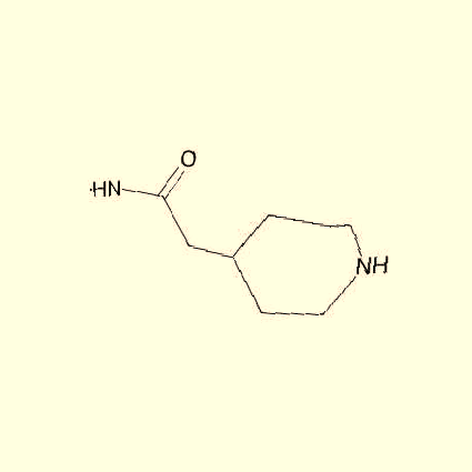 [NH]C(=O)CC1CCNCC1